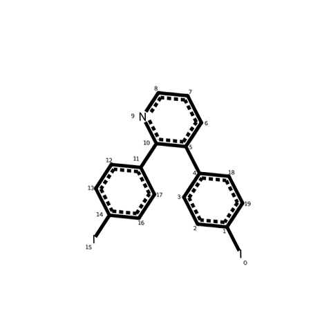 Ic1ccc(-c2cccnc2-c2ccc(I)cc2)cc1